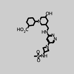 CS(=O)(=O)NC1CN(c2cnnc(NCC3CC(O)CN(C4CCCC(C(=O)O)C4)C3)c2)C1